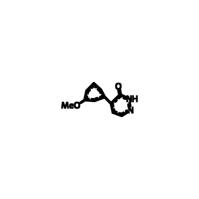 COc1cccc(-c2ccn[nH]c2=O)c1